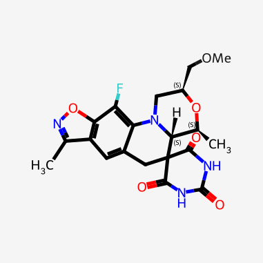 COC[C@@H]1CN2c3c(cc4c(C)noc4c3F)CC3(C(=O)NC(=O)NC3=O)[C@H]2[C@H](C)O1